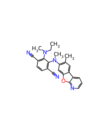 CCN(C)c1c(C#N)ccc(C#N)c1N(C)c1cc2oc3ncccc3c2cc1C